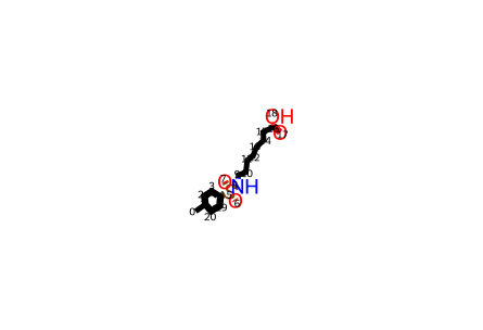 Cc1ccc(S(=O)(=O)NCCCCCCCC(=O)O)cc1